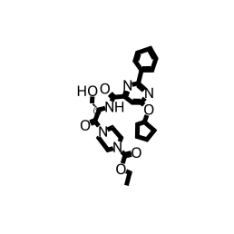 CCOC(=O)N1CCN(C(=O)[C@H](CO)NC(=O)c2cc(OC3CCCC3)nc(-c3ccccc3)n2)CC1